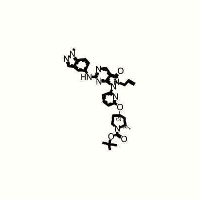 C=CCn1c(=O)c2cnc(Nc3ccc4c(cnn4C)c3)nc2n1-c1cccc(O[C@H]2CCN(C(=O)OC(C)(C)C)[C@@H](C)C2)n1